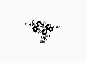 CC(=O)OC1CCc2c1ncc(NC(=O)C1C=CC(F)(NC(=O)OC(C)(C)C)C(c3c(F)cccc3F)=N1)c2N1C[C@H](C)C[C@H](NC(=O)OC(C)(C)C)C1